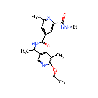 CCNC(=O)c1cc(C(=O)NC(C)c2cnc(OCC(F)(F)F)c(C)c2)cc(C)n1